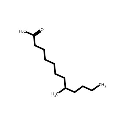 CCCCC(C)CCCCCCC(C)=O